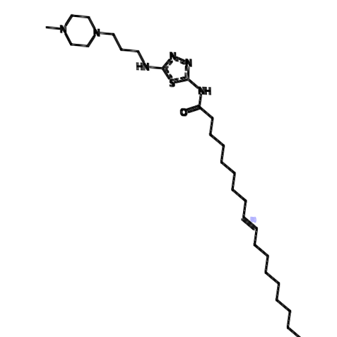 CCCCCCCC/C=C/CCCCCCCC(=O)Nc1nnc(NCCCN2CCN(C)CC2)s1